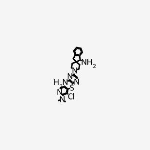 CN(C)c1nccc(Sc2ncc(N3CCC4(CC3)Cc3ccccc3[C@H]4N)nc2N)c1Cl